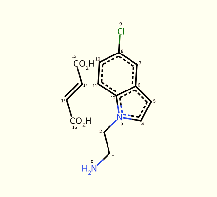 NCCn1ccc2cc(Cl)ccc21.O=C(O)C=CC(=O)O